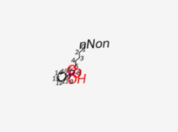 CCCCCCCCCCCCCCOP(=O)(O)c1ccccc1